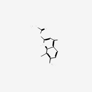 CNC(=N)Sc1cc(Cl)c2ccc(OC)c(Cl)c2n1